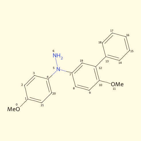 COc1ccc(N(N)c2ccc(OC)c(-c3ccccc3)c2)cc1